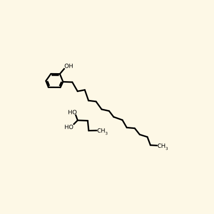 CCCC(O)O.CCCCCCCCCCCCCCCc1ccccc1O